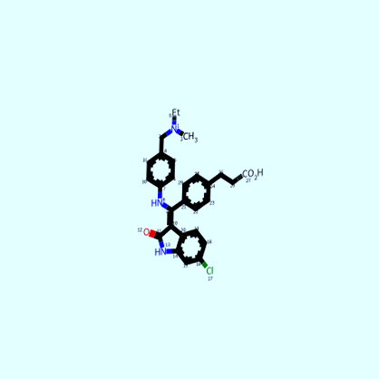 CCN(C)Cc1ccc(N/C(=C2\C(=O)Nc3cc(Cl)ccc32)c2ccc(CCC(=O)O)cc2)cc1